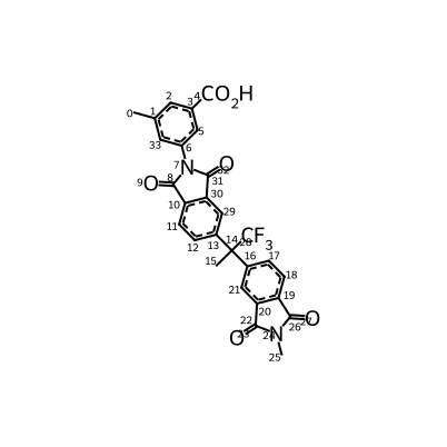 Cc1cc(C(=O)O)cc(N2C(=O)c3ccc(C(C)(c4ccc5c(c4)C(=O)N(C)C5=O)C(F)(F)F)cc3C2=O)c1